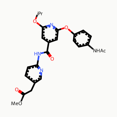 COC(=O)Cc1ccc(NC(=O)c2cc(Oc3ccc(NC(C)=O)cc3)nc(OC(C)C)c2)nc1